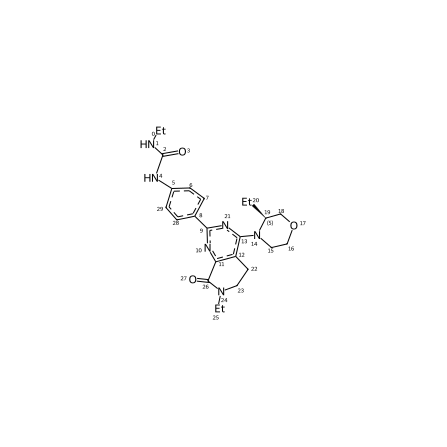 CCNC(=O)Nc1ccc(-c2nc3c(c(N4CCOC[C@@H]4CC)n2)CCN(CC)C3=O)cc1